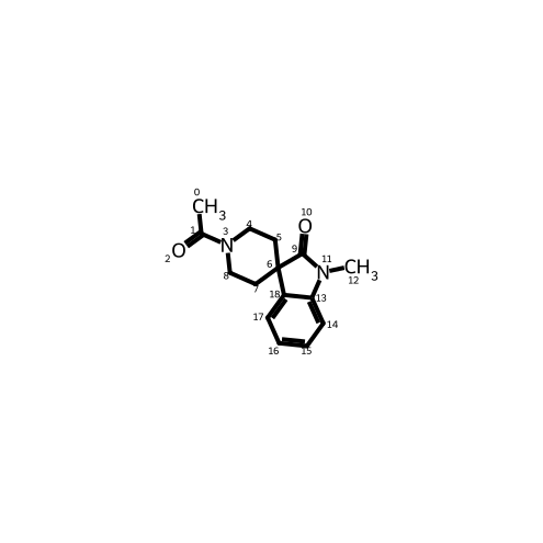 CC(=O)N1CCC2(CC1)C(=O)N(C)c1ccccc12